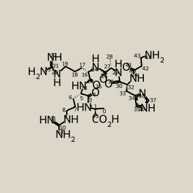 C[C@H](NC(=O)[C@H](CCCNC(=N)N)NC(=O)[C@H](CCCNC(=N)N)NC(=O)[C@H](C)NC(=O)[C@H](Cc1c[nH]cn1)NC(=O)CCN)C(=O)O